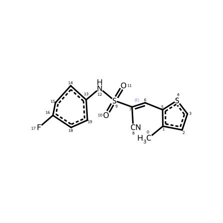 Cc1ccsc1/C=C(\C#N)S(=O)(=O)Nc1ccc(F)cc1